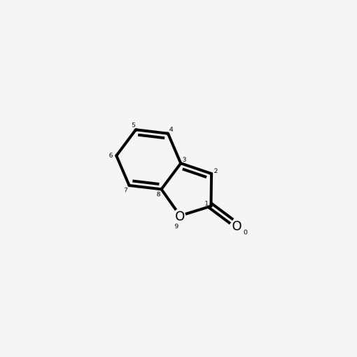 O=C1C=C2C=CCC=C2O1